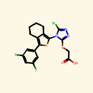 O=C(O)CSc1nnc(Br)n1-c1sc(-c2cc(F)cc(F)c2)c2c1CCCC2